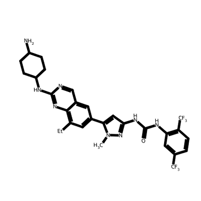 CCc1cc(-c2cc(NC(=O)Nc3cc(C(F)(F)F)ccc3C(F)(F)F)nn2C)cc2cnc(NC3CCC(N)CC3)nc12